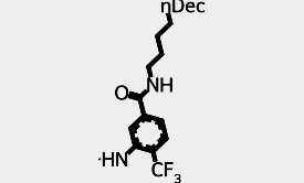 CCCCCCCCCCCCCCNC(=O)c1ccc(C(F)(F)F)c([NH])c1